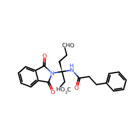 O=CCC[C@](CC(=O)O)(NC(=O)CCc1ccccc1)N1C(=O)c2ccccc2C1=O